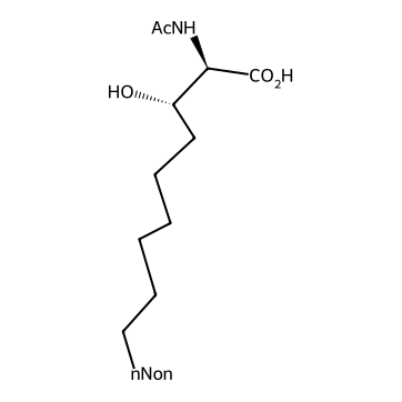 CCCCCCCCCCCCCCC[C@H](O)[C@@H](NC(C)=O)C(=O)O